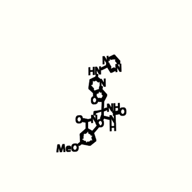 COc1ccc2c(c1)C(=O)N(C[C@@]1(c3cc4nc(Nc5cnccn5)ccc4o3)NC(=O)NC1=O)C2